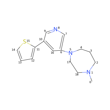 CN1CCCN(c2cncc(-c3cccs3)c2)CC1